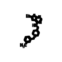 CCc1cc2c(NCC3CCN(Cc4cccc(C)c4)CC3)ncnc2s1